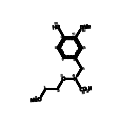 COCCON(Cc1ccc(O)c(OC)c1)C(=O)O